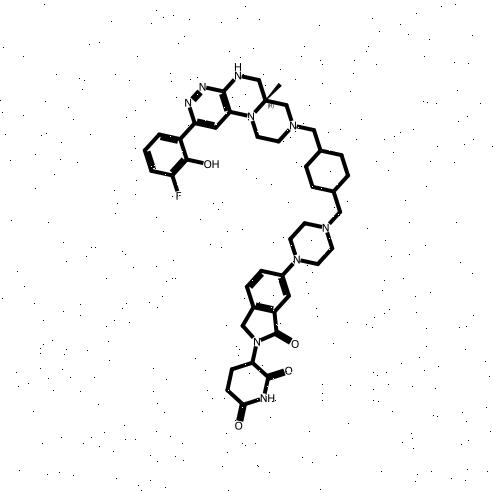 C[C@]12CNc3nnc(-c4cccc(F)c4O)cc3N1CCN(CC1CCC(CN3CCN(c4ccc5c(c4)C(=O)N(C4CCC(=O)NC4=O)C5)CC3)CC1)C2